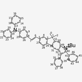 CC1(C)c2cc(/C=C/c3ccc(N(c4ccccc4)c4ccccc4)cc3)ccc2-c2cc3c(-c4ccccc4)c(-c4ccccc4)n(C(C)(C)C)c3cc21